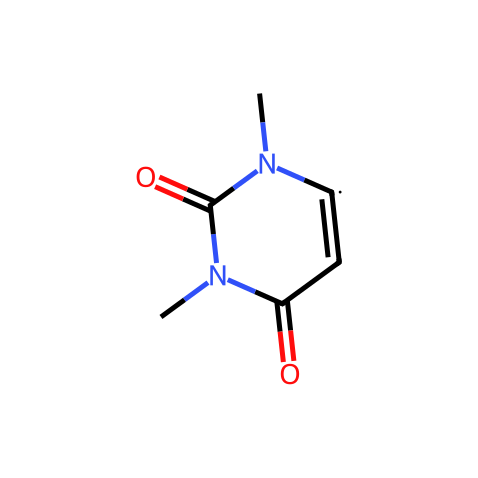 Cn1[c]cc(=O)n(C)c1=O